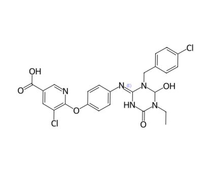 CCN1C(=O)N/C(=N\c2ccc(Oc3ncc(C(=O)O)cc3Cl)cc2)N(Cc2ccc(Cl)cc2)C1O